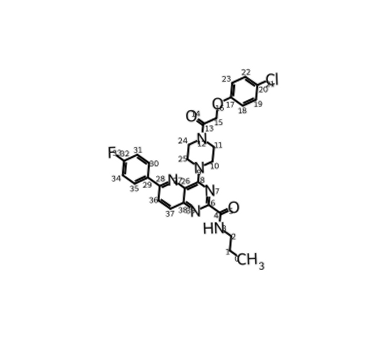 CCCNC(=O)c1nc(N2CCN(C(=O)COc3ccc(Cl)cc3)CC2)c2nc(-c3ccc(F)cc3)ccc2n1